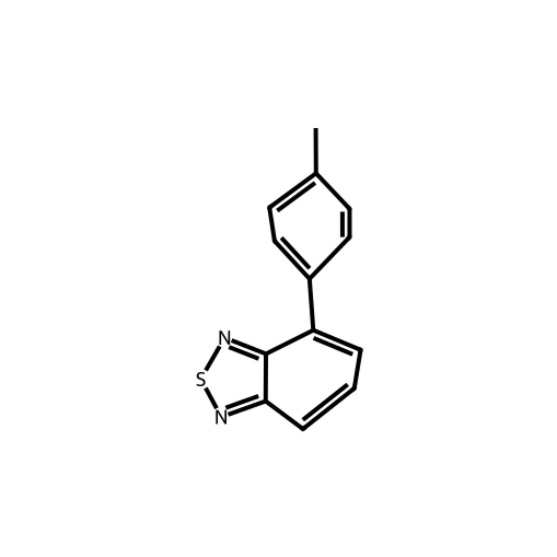 Cc1ccc(-c2cccc3nsnc23)cc1